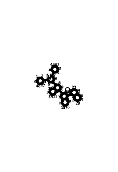 c1ccc(-c2cc(-c3ccc(-c4cc5ccccc5c5c4oc4ccc6ccccc6c45)c4ccccc34)cc(-c3ccccc3)n2)cc1